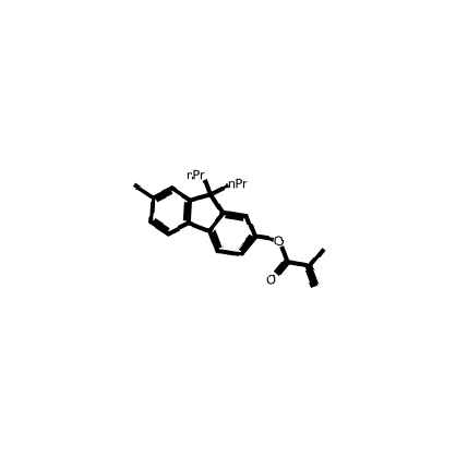 C=C(C)C(=O)Oc1ccc2c(c1)C(CCC)(CCC)c1cc(C)ccc1-2